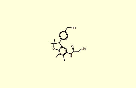 Cc1c(NC(=O)CC(C)(C)C)cc2c(c1C)OC(C)(C)C2c1ccc(CO)cc1